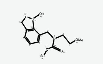 COCCN(Cc1cccc2c1B(O)OC2)C(=O)OC(C)(C)C